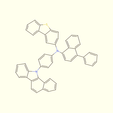 c1ccc(-c2ccc(N(c3ccc(-n4c5ccccc5c5ccc6ccccc6c54)cc3)c3ccc4sc5ccccc5c4c3)c3ccccc23)cc1